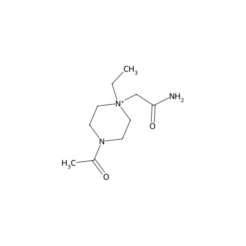 CC[N+]1(CC(N)=O)CCN(C(C)=O)CC1